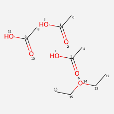 CC(=O)O.CC(=O)O.CC(=O)O.CCOCC